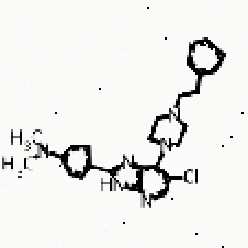 CN(C)c1ccc(-c2nc3c(N4CCN(CCc5ccccc5)CC4)c(Cl)cnc3[nH]2)cc1